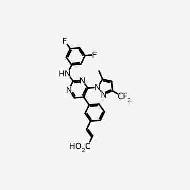 Cc1cc(C(F)(F)F)nn1-c1nc(Nc2cc(F)cc(F)c2)ncc1-c1cccc(/C=C/C(=O)O)c1